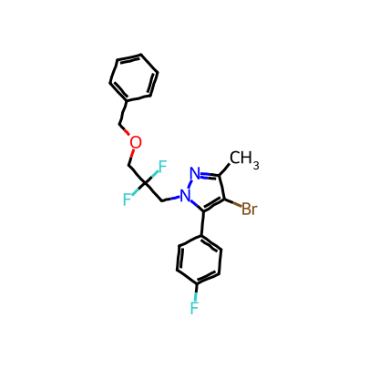 Cc1nn(CC(F)(F)COCc2ccccc2)c(-c2ccc(F)cc2)c1Br